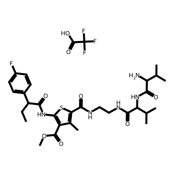 CCC(C(=O)Nc1sc(C(=O)NCCNC(=O)C(NC(=O)C(N)C(C)C)C(C)C)c(C)c1C(=O)OC)c1ccc(F)cc1.O=C(O)C(F)(F)F